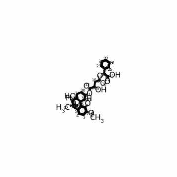 COc1ccc2c3c1O[C@@H]1C(OC(=O)[C@@H](O)CC(=O)O[C@H](C(=O)O)c4ccccc4)=CC[C@]4(O)[C@H](C2)N(C)CC[C@@]314